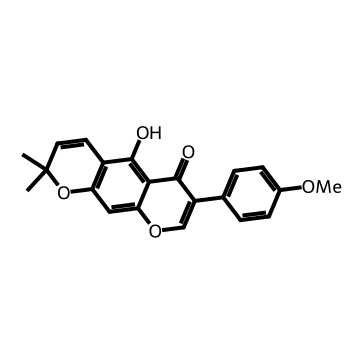 COc1ccc(-c2coc3cc4c(c(O)c3c2=O)C=CC(C)(C)O4)cc1